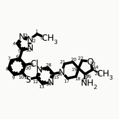 CCn1ncc(-c2cccc(Sc3cnc(N4CCC5(CC4)CO[C@@H](C)[C@H]5N)cn3)c2Cl)n1